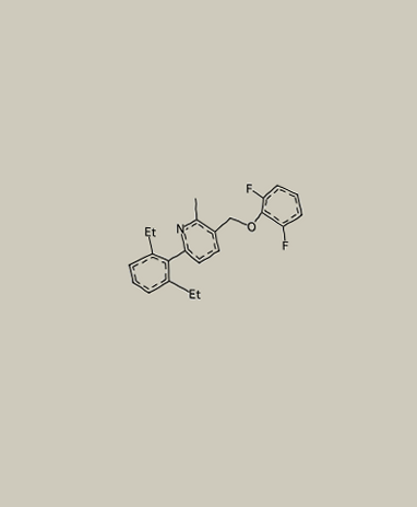 CCc1cccc(CC)c1-c1ccc(COc2c(F)cccc2F)c(C)n1